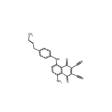 CCCCc1ccc(Nc2ccc(N)c3c2C(=O)C(C#N)=C(C#N)C3=O)cc1